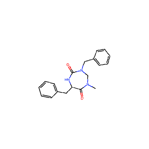 CN1CN(Cc2ccccc2)C(=O)NC(Cc2ccccc2)C1=O